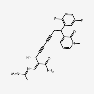 CN/C(C)=N/C=C(/C(N)=O)[C@@H](C#CC#CCC(c1cc(F)ccc1F)c1cccn(C)c1=O)C(C)C